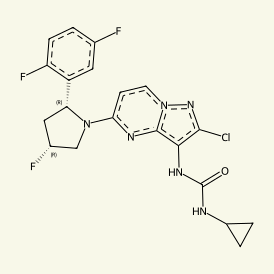 O=C(Nc1c(Cl)nn2ccc(N3C[C@H](F)C[C@@H]3c3cc(F)ccc3F)nc12)NC1CC1